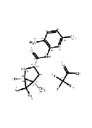 O=C(O)C(F)(F)F.[2H]C1([2H])[C@H]2N[C@H](C(=O)Nc3nc(C(F)(F)F)ccc3C)C[C@]21C